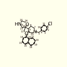 Clc1ccc(CN2CCC(C3(COc4cccc5ccccc45)CNCCO3)CC2)cc1